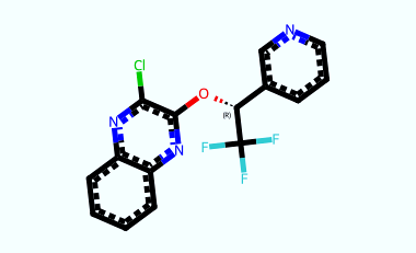 FC(F)(F)[C@H](Oc1nc2ccccc2nc1Cl)c1cccnc1